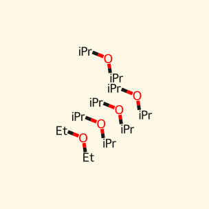 CC(C)OC(C)C.CC(C)OC(C)C.CC(C)OC(C)C.CC(C)OC(C)C.CCOCC